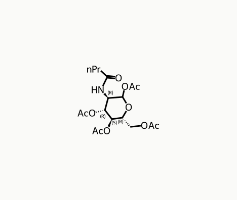 CCCC(=O)N[C@H]1C(OC(C)=O)O[C@H](COC(C)=O)[C@@H](OC(C)=O)[C@@H]1OC(C)=O